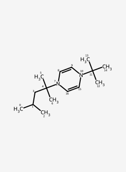 CC(C)CC(C)(C)N1C=CN(C(C)(C)C)C=C1